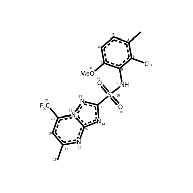 COc1ccc(C)c(Cl)c1NS(=O)(=O)c1nc2nc(C)cc(C(F)(F)F)n2n1